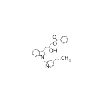 CCCc1ccnc(Cn2cc(C[C@H](O)COC(=O)c3ccccc3)c3ccccc32)c1